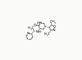 Cc1noc(C)c1-c1c[nH]c(=O)c(N[C@H](C)c2ccccn2)c1